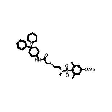 COc1cc(C)c(S(=O)(=O)N(C)CCOCC(=O)NC2CCC(c3ccccc3)(N3CCCCC3)CC2)c(C)c1